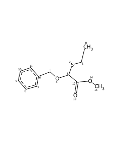 CCSC(OCc1ccccc1)C(=O)OC